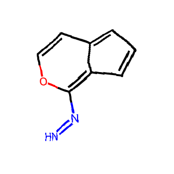 N=Nc1occc2cccc1-2